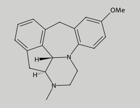 COc1ccc2c(c1)Cc1cccc3c1[C@H]1[C@H](C3)N(C)CCN21